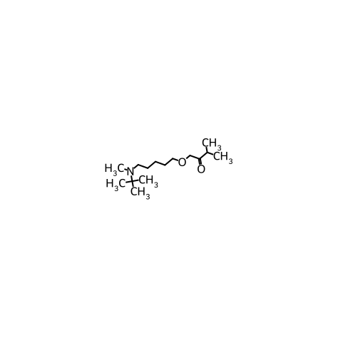 CC(C)C(=O)COCCCCCN(C)C(C)(C)C